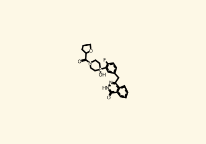 O=C(C1CCCO1)N1CC[P](O)(c2cc(Cc3n[nH]c(=O)c4ccccc34)ccc2F)CC1